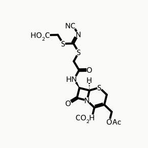 CC(=O)OCC1=C(C(=O)O)N2C(=O)[C@@H](NC(=O)CSC(=NC#N)SCC(=O)O)[C@H]2SC1